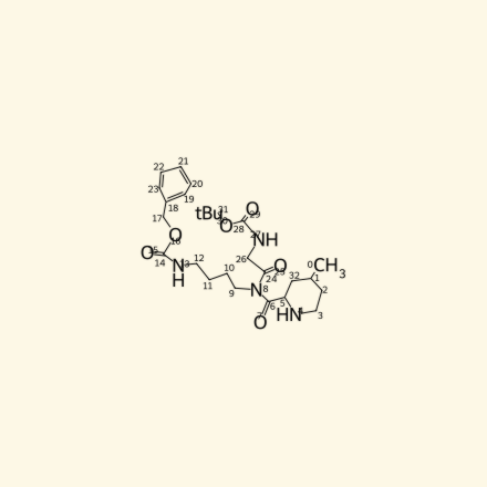 CC1CCNC(C(=O)N(CCCCNC(=O)OCc2ccccc2)C(=O)CNC(=O)OC(C)(C)C)C1